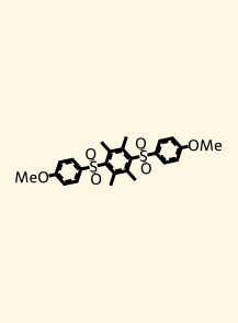 COc1ccc(S(=O)(=O)c2c(C)c(C)c(S(=O)(=O)c3ccc(OC)cc3)c(C)c2C)cc1